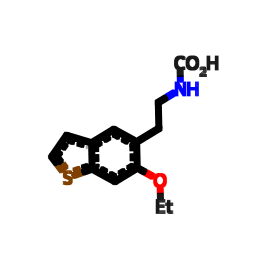 CCOc1cc2sccc2cc1CCNC(=O)O